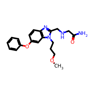 COCCCn1c(CNCC(N)=O)nc2ccc(Oc3ccccc3)cc21